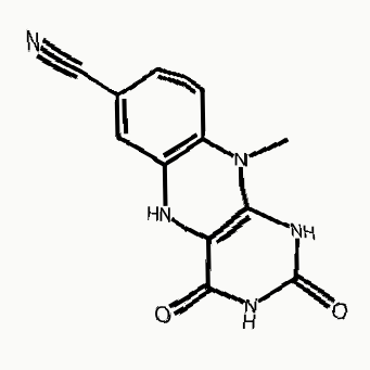 CN1c2ccc(C#N)cc2Nc2c1[nH]c(=O)[nH]c2=O